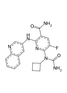 NC(=O)c1cc(F)c(N(C(N)=O)C2CCC2)nc1Nc1cnc2ccccc2c1